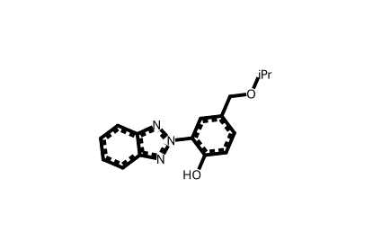 CC(C)OCc1ccc(O)c(-n2nc3ccccc3n2)c1